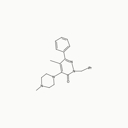 Cc1c(-c2ccccc2)nn(CC(C)C)c(=O)c1N1CCN(C)CC1